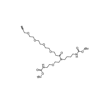 C#CCOCCOCCOCCOCCC(=O)N(CCCCNC(=O)OC(C)(C)C)CCOCCNC(=O)OC(C)(C)C